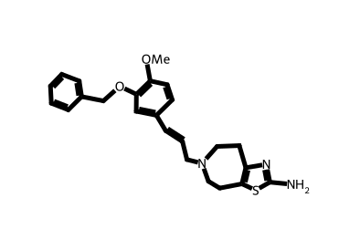 COc1ccc(C=CCN2CCc3nc(N)sc3CC2)cc1OCc1ccccc1